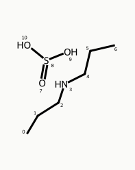 CCCNCCC.O=S(O)O